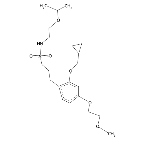 COCCOc1ccc(CCCS(=O)(=O)NCCOC(C)C)c(OCC2CC2)c1